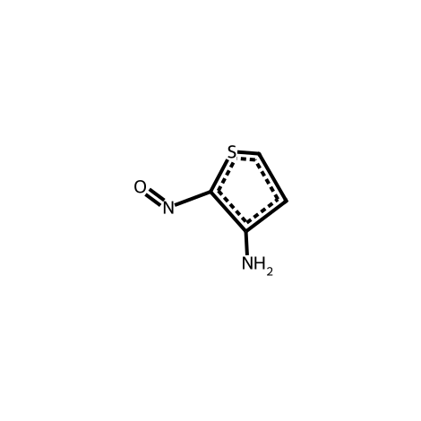 Nc1ccsc1N=O